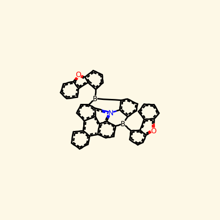 c1cc2c3c(c1)B(c1cccc4oc5ccccc5c14)c1ccc4c5ccccc5c5ccc(c6c5c4c1n6-3)B2c1cccc2oc3ccccc3c12